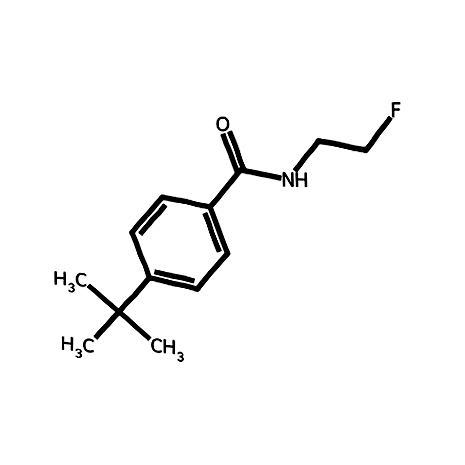 CC(C)(C)c1ccc(C(=O)NCCF)cc1